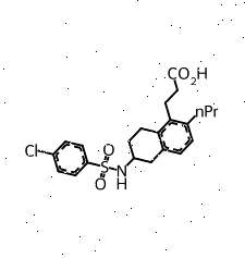 CCCc1ccc2c(c1CCC(=O)O)CCC(NS(=O)(=O)c1ccc(Cl)cc1)C2